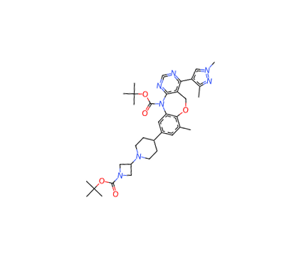 Cc1cc(C2CCN(C3CN(C(=O)OC(C)(C)C)C3)CC2)cc2c1OCc1c(-c3cn(C)nc3C)ncnc1N2C(=O)OC(C)(C)C